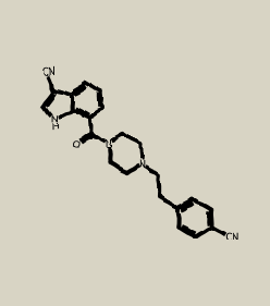 N#Cc1ccc(CCN2CCN(C(=O)c3cccc4c(C#N)c[nH]c34)CC2)cc1